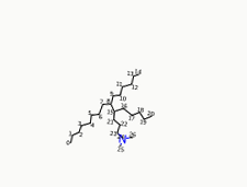 CCCCCCCCC(CCCCCC)C(CCCCC)CCCN(C)C